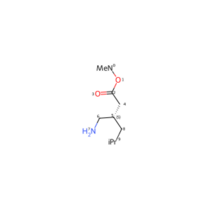 CNOC(=O)C[C@@H](CN)CC(C)C